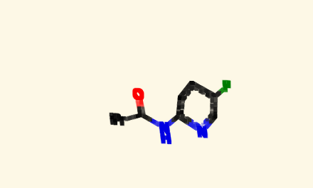 CC(C)C(=O)Nc1ccc(F)cn1